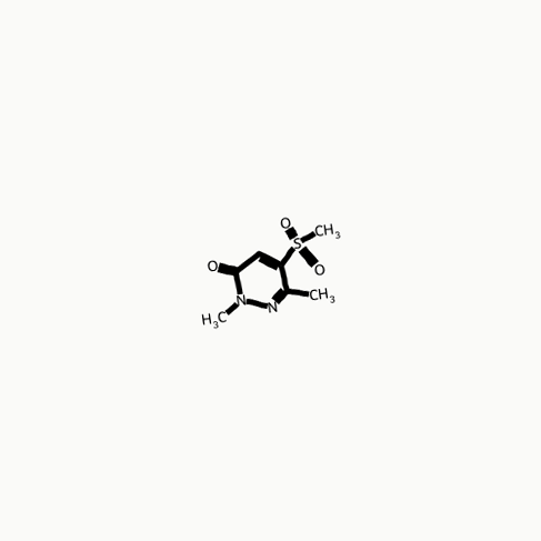 Cc1nn(C)c(=O)cc1S(C)(=O)=O